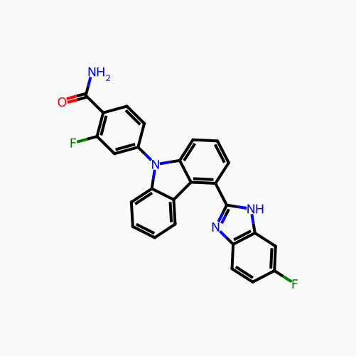 NC(=O)c1ccc(-n2c3ccccc3c3c(-c4nc5ccc(F)cc5[nH]4)cccc32)cc1F